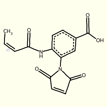 C/C=C\C(=O)Nc1ccc(C(=O)O)cc1N1C(=O)C=CC1=O